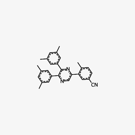 Cc1cc(C)cc(-c2ncc(-c3cc(C#N)ccc3C)nc2-c2cc(C)cc(C)c2)c1